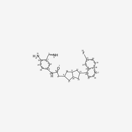 N=Cc1cc(NC(=O)CC2CC3CC(c4ccnc5ccc(F)cc45)CC3C2)ccc1N